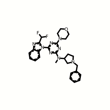 CN(c1nc(N2CCOCC2)nc(-n2c(C(F)F)nc3ccccc32)n1)C1CCN(Cc2ccccc2)C1